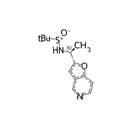 C[C@H](N[S+]([O-])C(C)(C)C)c1cc2cnccc2o1